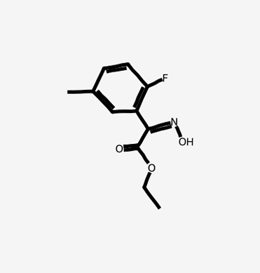 CCOC(=O)/C(=N\O)c1cc(C)ccc1F